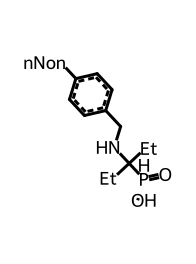 CCCCCCCCCc1ccc(CNC(CC)(CC)[PH](=O)O)cc1